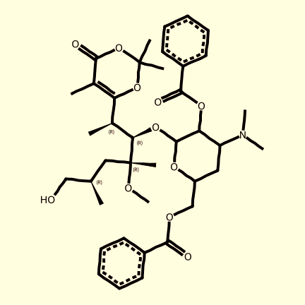 CO[C@](C)(C[C@@H](C)CO)[C@H](OC1OC(COC(=O)c2ccccc2)CC(N(C)C)C1OC(=O)c1ccccc1)[C@@H](C)C1=C(C)C(=O)OC(C)(C)O1